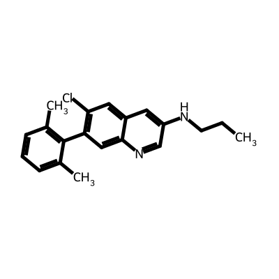 CCCNc1cnc2cc(-c3c(C)cccc3C)c(Cl)cc2c1